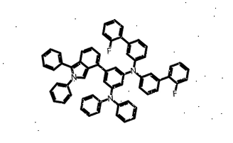 Fc1ccccc1-c1cccc(N(c2cccc(-c3ccccc3F)c2)c2cc(-c3cccc4c(-c5ccccc5)n(-c5ccccc5)cc34)cc(N(c3ccccc3)c3ccccc3)c2)c1